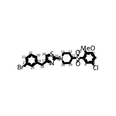 COc1ccc(Cl)cc1S(=O)(=O)C1CCN(c2nc(Cc3cccc(Br)c3)cs2)CC1